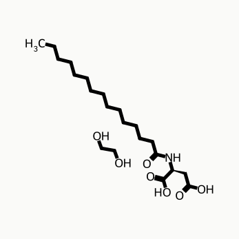 CCCCCCCCCCCCCCC(=O)N[C@@H](CC(=O)O)C(=O)O.OCCO